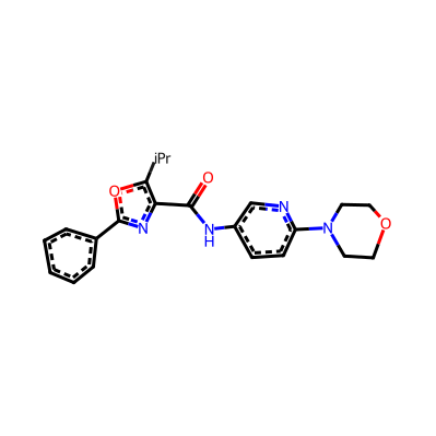 CC(C)c1oc(-c2ccccc2)nc1C(=O)Nc1ccc(N2CCOCC2)nc1